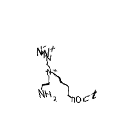 CCCCCCCCCCCC[N+](C)(CCN)CCN=[N+]=[N-]